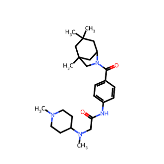 CN1CCC(N(C)CC(=O)Nc2ccc(C(=O)N3CC4(C)CC3CC(C)(C)C4)cc2)CC1